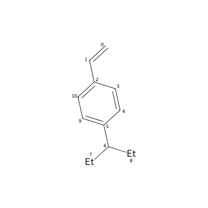 C=Cc1ccc(C(CC)CC)cc1